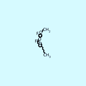 C=CCOc1ccc(OCC(F)(F)CC2CCC(CCCCCC)CO2)cc1F